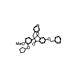 COc1ccc(C2(Cc3ccncc3)C(=O)c3ccc(OCc4ccccc4)cc3C2=O)cc1OC1CCCC1